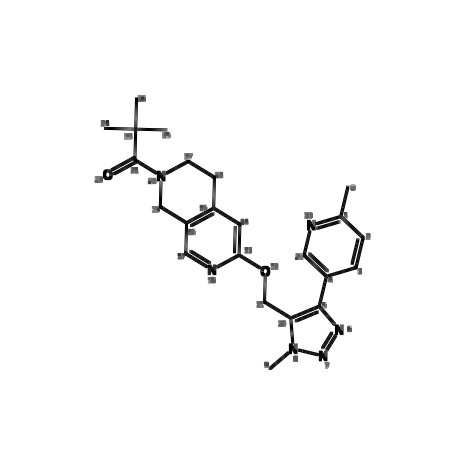 Cc1ccc(-c2nnn(C)c2COc2cc3c(cn2)CN(C(=O)C(C)(C)C)CC3)cn1